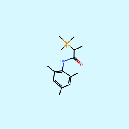 Cc1cc(C)c(NC(=O)C(C)[PH](C)(C)C)c(C)c1